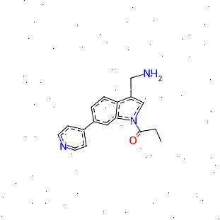 CCC(=O)n1cc(CN)c2ccc(-c3ccncc3)cc21